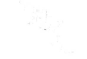 C[C@H]1C[C@H]2[C@@H]3CCC4=CC(=O)C=C[C@]4(C)[C@@]3(F)[C@@H](O)C[C@]2(C)[C@@]1(O)C(=O)COC(=O)CCS(=O)(=O)O